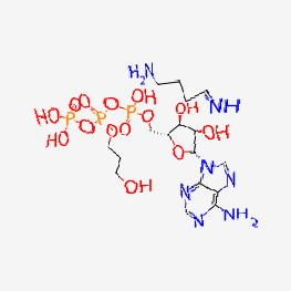 N=CCCCN.Nc1ncnc2c1ncn2[C@@H]1O[C@H](COP(=O)(O)OP(=O)(OCCCO)OP(=O)(O)O)[C@@H](O)[C@H]1O